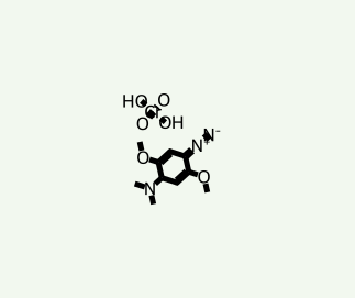 COC1=CC(N(C)C)C(OC)=CC1=[N+]=[N-].[O]=[Cr](=[O])([OH])[OH]